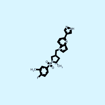 Cc1cc(S(=O)(=O)N2CC(Cn3ccc4nc(-c5cn[nH]c5)ccc43)C[C@@H]2C)ccc1F